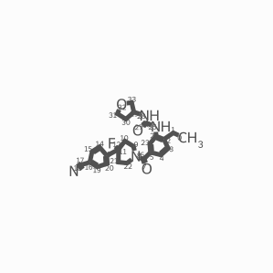 CCc1ccc(C(=O)N2CCC(F)(c3ccc(C#N)cc3)CC2)cc1NC(=O)NC1CCOC1